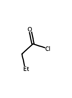 [CH2]CCC(=O)Cl